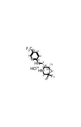 C[C@@H]1OC(F)(F)CN[C@@H]1CNc1ccc(C(F)(F)F)cn1.Cl